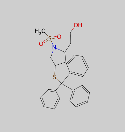 CS(=O)(=O)N1CC(SC(c2ccccc2)(c2ccccc2)c2ccccc2)CC1CCO